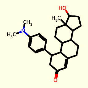 CN(C)c1ccc(C2CC(=O)C=C3CCC4C(CCC5(C)C(O)CCC45)C32)cc1